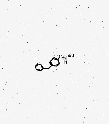 CCCCNOc1ccc(Cc2ccccc2)cc1